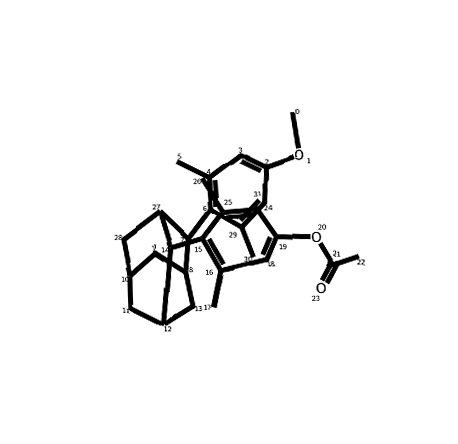 COc1cc(C)c(C2C3CC4CC(C3)C(c3c(C)cc(OC(C)=O)cc3C)C2C4)c(C)c1